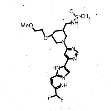 COCCOC1CC(CN[S+](C)[O-])CN(c2cc(-c3cnc(/C=C\C(=N)C(F)F)[nH]3)ncn2)C1